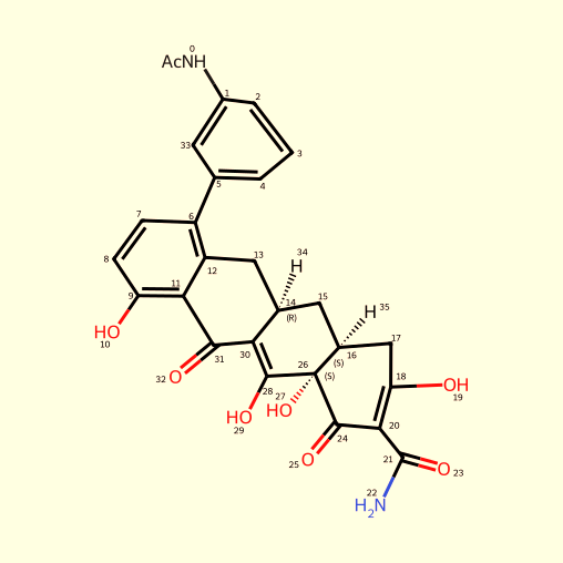 CC(=O)Nc1cccc(-c2ccc(O)c3c2C[C@H]2C[C@H]4CC(O)=C(C(N)=O)C(=O)[C@@]4(O)C(O)=C2C3=O)c1